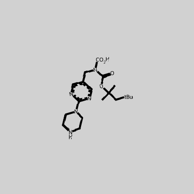 CC(C)(C)CC(C)(C)OC(=O)N(Cc1cnc(N2CCNCC2)nc1)C(=O)O